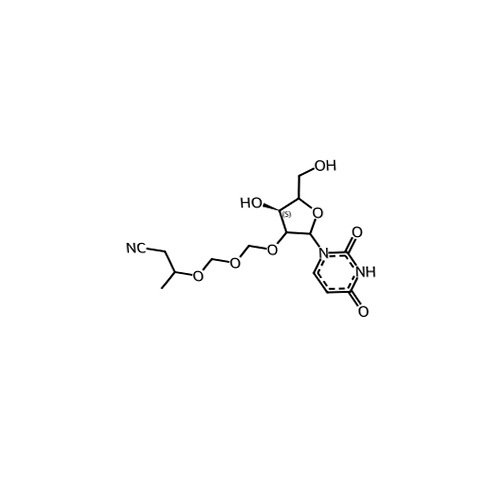 CC(CC#N)OCOCOC1C(n2ccc(=O)[nH]c2=O)OC(CO)[C@@H]1O